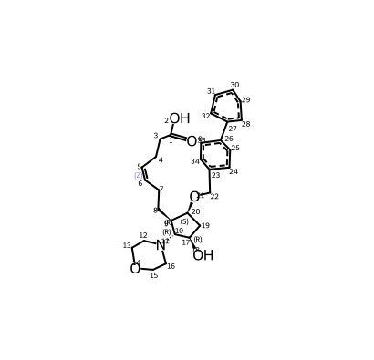 O=C(O)CC/C=C\CC[C@@H]1[C@@H](N2CCOCC2)[C@H](O)C[C@@H]1OCc1ccc(-c2ccccc2)cc1